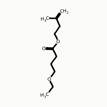 C=C(C)CCOC(=O)CCCOCC